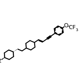 CC[C@H]1CC[C@H](CCC2CCC(/C=C/C#Cc3ccc(OC(F)(F)F)cc3)CC2)CC1